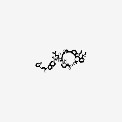 CCn1c(-c2cccnc2[C@H](C)OC)c2c3cc(ccc31)-c1csc(n1)C[C@H](NC(=O)[C@H](C(C)C)N(C)C(=O)N1CCC3(CCN(C(=O)/C=C/[C@H]4CCCN4C)C3)CC1)C(=O)N1CCC[C@H](N1)C(=O)OCC(C)(C)C2